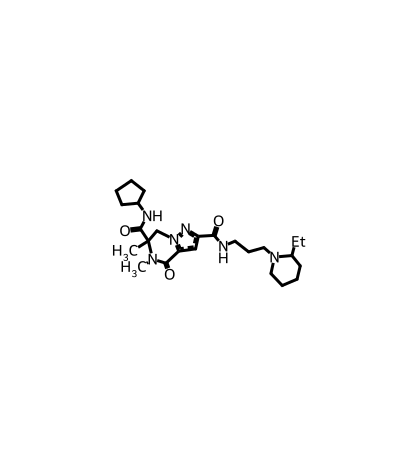 CCC1CCCCN1CCCNC(=O)c1cc2n(n1)CC(C)(C(=O)NC1CCCC1)N(C)C2=O